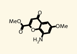 COC(=O)c1cc(=O)c2cc(OC)cc(N)c2o1